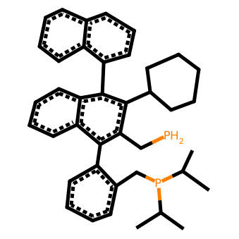 CC(C)P(Cc1ccccc1-c1c(CP)c(C2CCCCC2)c(-c2cccc3ccccc23)c2ccccc12)C(C)C